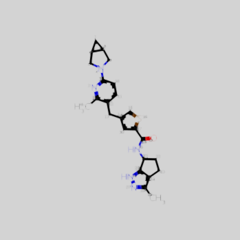 Cc1nc(N2CC3CC3C2)ccc1Cc1csc(C(=O)NC2CCc3c(C)n[nH]c32)c1